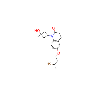 C[C@H](S)CCOc1ccc2c(c1)CCC(=O)N2C1CC(C)(O)C1